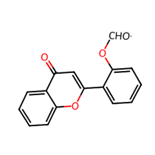 O=[C]Oc1ccccc1-c1cc(=O)c2ccccc2o1